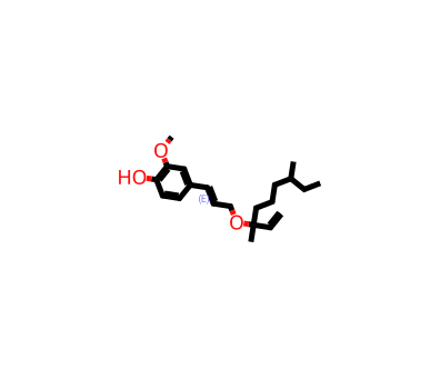 C=CC(C)(CCCC(C)CC)OC/C=C/c1ccc(O)c(OC)c1